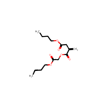 C=C(CC(=O)OCCCC)C(=O)OCC(=O)OCCCC